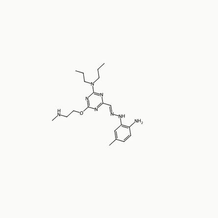 CCCN(CCC)c1nc(/C=N/Nc2cc(C)ccc2N)nc(OCCNC)n1